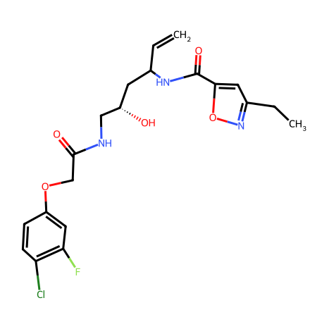 C=CC(C[C@H](O)CNC(=O)COc1ccc(Cl)c(F)c1)NC(=O)c1cc(CC)no1